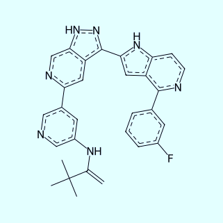 C=C(Nc1cncc(-c2cc3c(-c4cc5c(-c6cccc(F)c6)nccc5[nH]4)n[nH]c3cn2)c1)C(C)(C)C